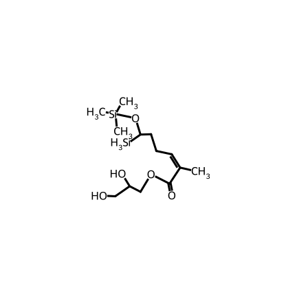 CC(=CCCC([SiH3])O[Si](C)(C)C)C(=O)OCC(O)CO